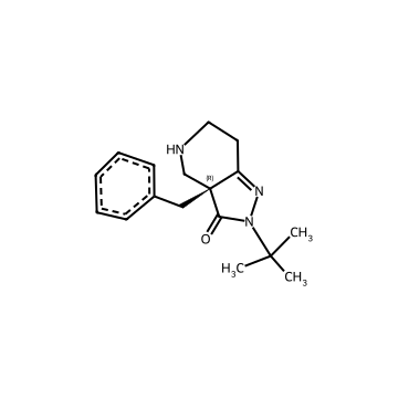 CC(C)(C)N1N=C2CCNC[C@@]2(Cc2ccccc2)C1=O